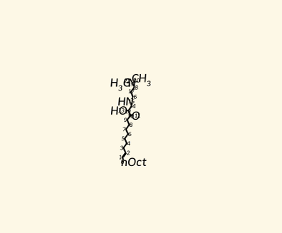 CCCCCCCCC=CCCCCCCCC(=O)C(O)CNCCCN(C)C